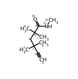 C#CC(C)(C)CC(C)(C)C(=O)NC